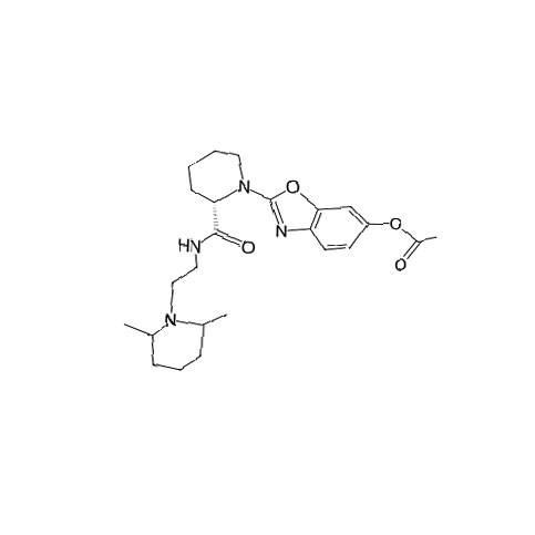 CC(=O)Oc1ccc2nc(N3CCCC[C@H]3C(=O)NCCN3C(C)CCCC3C)oc2c1